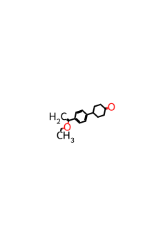 C=C(OCC)c1ccc(C2CCC(=O)CC2)cc1